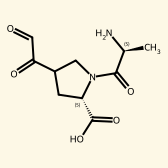 C[C@H](N)C(=O)N1CC(C(=O)C=O)C[C@H]1C(=O)O